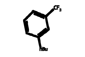 CC[CH]Cc1cccc(C(F)(F)F)c1